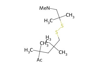 CNCC(C)(C)SSCC(C)(C)CC(C)(C)C(C)=O